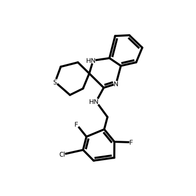 Fc1ccc(Cl)c(F)c1CNC1=Nc2ccccc2NC12CCSCC2